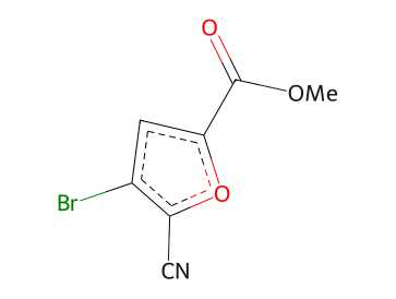 COC(=O)c1cc(Br)c(C#N)o1